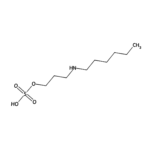 CCCCCCNCCCOS(=O)(=O)O